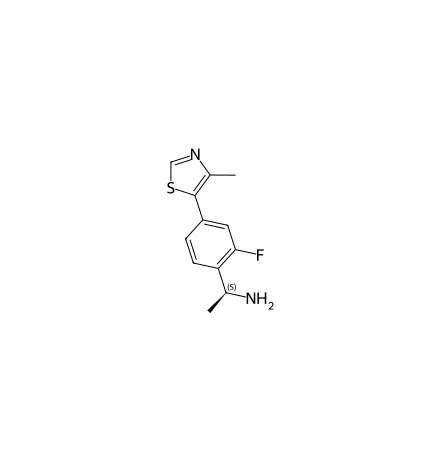 Cc1ncsc1-c1ccc([C@H](C)N)c(F)c1